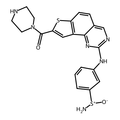 N[S+]([O-])c1cccc(Nc2ncc3ccc4sc(C(=O)N5CCNCC5)cc4c3n2)c1